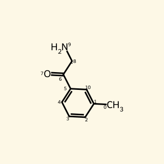 Cc1cccc(C(=O)[CH]N)c1